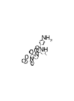 CC(C)CC(NC(=O)c1ccc(N)cc1)C(=O)N1CCC2C1C(=O)CN2C(=O)C1=CCOC1=O